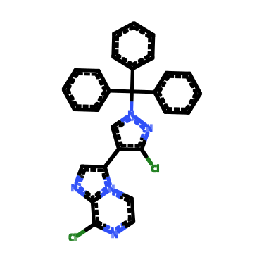 Clc1nn(C(c2ccccc2)(c2ccccc2)c2ccccc2)cc1-c1cnc2c(Cl)nccn12